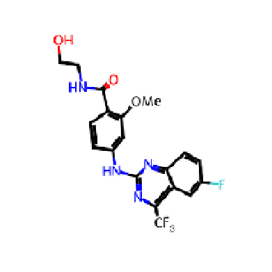 COc1cc(Nc2nc(C(F)(F)F)c3cc(F)ccc3n2)ccc1C(=O)NCCO